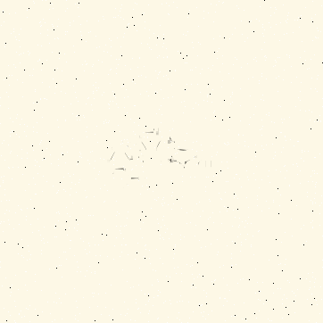 CC(=O)c1ccccc1Nc1cc(Nc2cc(C)nn2C)ncc1Cl